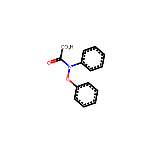 O=C(O)C(=O)N(Oc1ccccc1)c1ccccc1